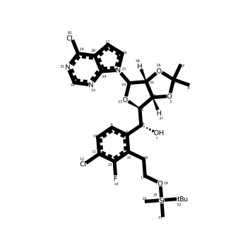 CC1(C)O[C@@H]2[C@@H]([C@H](O)c3ccc(Cl)c(F)c3CCO[Si](C)(C)C(C)(C)C)OC(n3ccc4c(Cl)ncnc43)[C@@H]2O1